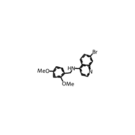 COc1ccc(CNc2ccnc3cc(Br)ccc23)c(OC)c1